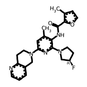 Cc1ccoc1C(=O)Nc1c(C)cc(N2CCc3ncccc3C2)nc1N1CC[C@@H](F)C1